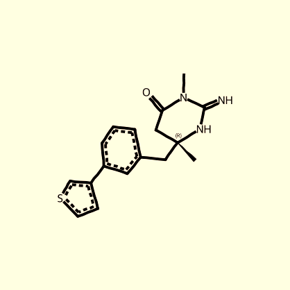 CN1C(=N)N[C@](C)(Cc2cccc(-c3ccsc3)c2)CC1=O